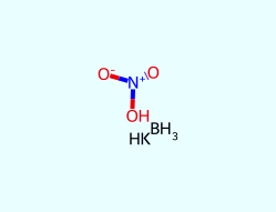 B.O=[N+]([O-])O.[KH]